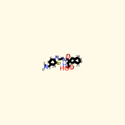 CN(C)Cc1ccc2nc(CNC(=O)C3(CC(=O)O)Cc4ccccc4C3)sc2c1